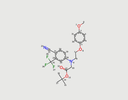 COc1ccc(OCCN(CC(=O)OC(C)(C)C)c2ccc(C#N)c(C(F)(F)F)c2)cc1